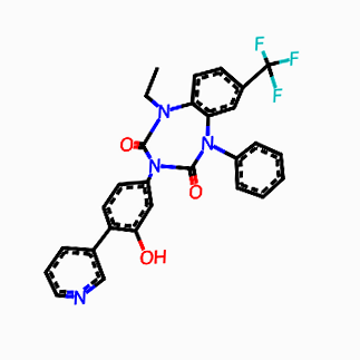 CCN1C(=O)N(c2ccc(-c3cccnc3)c(O)c2)C(=O)N(c2ccccc2)c2cc(C(F)(F)F)ccc21